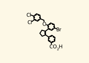 O=C(O)c1cccc(C2=C(c3cc(Br)ccc3OCc3ccc(Cl)c(Cl)c3)CCC2)c1